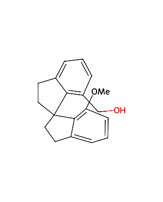 COc1cccc2c1C1(CCc3cccc(CO)c31)CC2